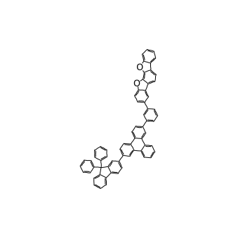 c1ccc(C2(c3ccccc3)c3ccccc3-c3ccc(-c4ccc5c6ccc(-c7cccc(-c8ccc9oc%10c(ccc%11c%12ccccc%12oc%11%10)c9c8)c7)cc6c6ccccc6c5c4)cc32)cc1